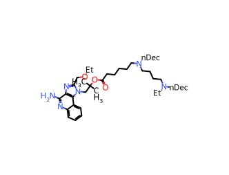 CCCCCCCCCCN(CC)CCCCN(CCCCCCCCCC)CCCCCC(=O)OC(C)(C)Cn1c(COCC)nc2c(N)nc3ccccc3c21